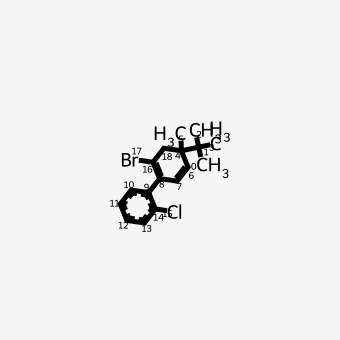 CC(C)(C)C1(C)C=CC(c2ccccc2Cl)=C(Br)C1